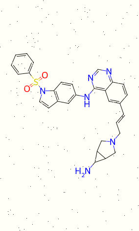 NC1C2CN(CC=Cc3ccc4ncnc(Nc5ccc6c(ccn6S(=O)(=O)c6ccccc6)c5)c4c3)CC12